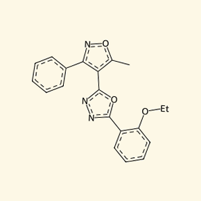 CCOc1ccccc1-c1nnc(-c2c(-c3ccccc3)noc2C)o1